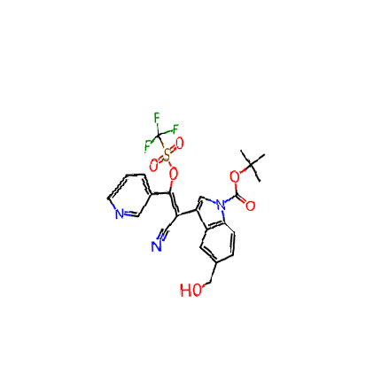 CC(C)(C)OC(=O)n1cc(/C(C#N)=C(\OS(=O)(=O)C(F)(F)F)c2cccnc2)c2cc(CO)ccc21